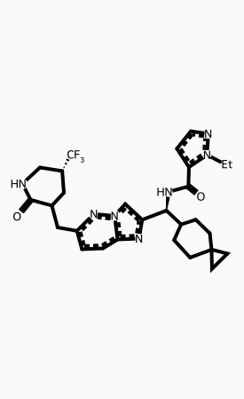 CCn1nccc1C(=O)N[C@H](c1cn2nc(CC3C[C@@H](C(F)(F)F)CNC3=O)ccc2n1)C1CCC2(CC1)CC2